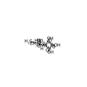 CC(C)CCCCNC(=O)[C@H](CS(=O)(=O)O)NC(=O)CN1CCN(CC(=O)O)CCN(CC(=O)O)CCN(CC(=O)O)CC1